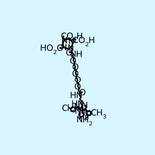 Cc1cc(F)cc(-c2cnc(NCCCNC(=O)CCOCCOCCOCCOCCOCCNC(=O)CN3CCN(CC(=O)O)CCN(CC(=O)O)CCN(CC(=O)O)CC3)c(-c3nc4cc(Cl)ccc4[nH]3)c2N2CCC(N)CC2)c1